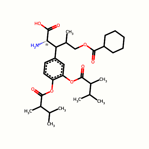 CC(C)C(C)C(=O)Oc1ccc(C(C(C)COC(=O)C2CCCCC2)[C@H](N)C(=O)O)cc1OC(=O)C(C)C(C)C